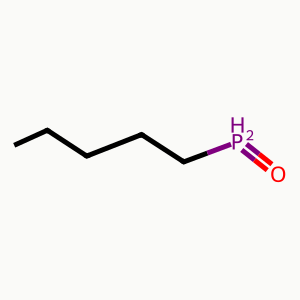 CCCCC[PH2]=O